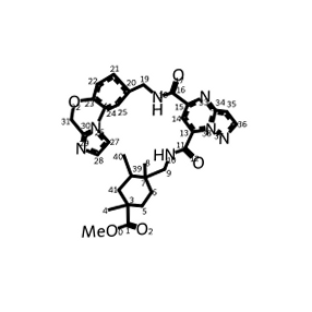 COC(=O)C1(C)CCC(C)(CNC(=O)c2cc(C(=O)NCc3ccc4c(c3)-n3ccnc3CO4)nc3ccnn23)C(C)C1